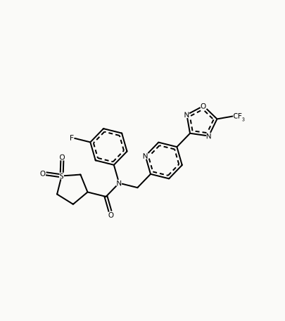 O=C(C1CCS(=O)(=O)C1)N(Cc1ccc(-c2noc(C(F)(F)F)n2)cn1)c1cccc(F)c1